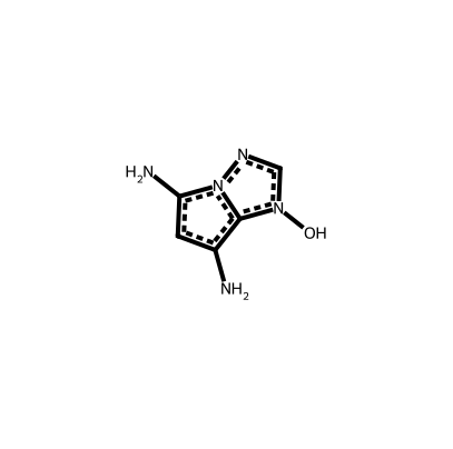 Nc1cc(N)n2ncn(O)c12